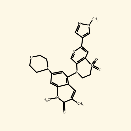 Cc1cc2c(N3CCS(=O)(=O)c4cc(-c5cnn(C)c5)ncc43)cc(N3CCOCC3)cc2n(C)c1=O